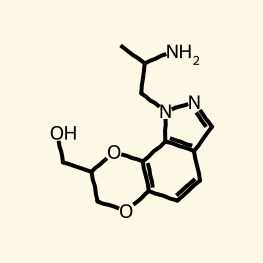 CC(N)Cn1ncc2ccc3c(c21)OC(CO)CO3